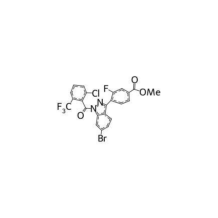 COC(=O)c1ccc(-c2nn(C(=O)c3c(Cl)cccc3C(F)(F)F)c3cc(Br)ccc23)c(F)c1